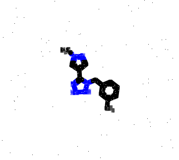 Cc1cccc(CN2NNN=C2c2cnn(C)c2)c1